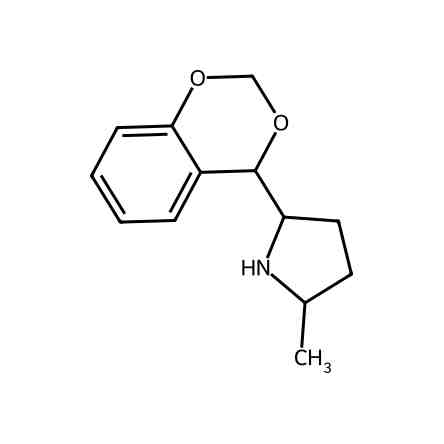 CC1CCC(C2OCOc3ccccc32)N1